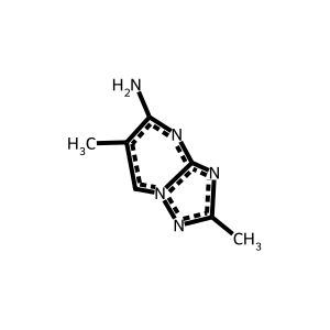 Cc1nc2nc(N)c(C)cn2n1